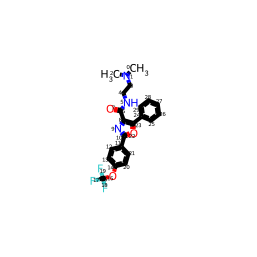 CN(C)CCNC(=O)c1nc(-c2ccc(OC(F)(F)F)cc2)oc1-c1ccccc1